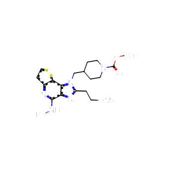 COCCc1nc2c(NC(C)(C)C)nc3ccsc3c2n1CC1CCN(C(=O)OC(C)(C)C)CC1